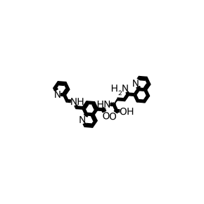 NC(CC[C@H](NC(=O)c1ccc(CNCc2ccccn2)c2ncccc12)C(=O)O)C1CCCc2cccnc21